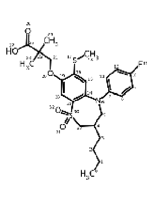 CCCCC1CN(c2ccc(F)cc2)c2cc(SC)c(OCC(C)(C)C(=O)O)cc2S(=O)(=O)C1